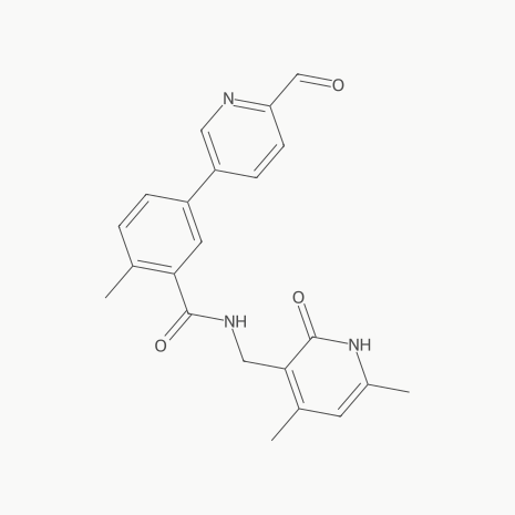 Cc1cc(C)c(CNC(=O)c2cc(-c3ccc(C=O)nc3)ccc2C)c(=O)[nH]1